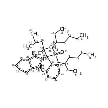 CCCCC(CC)CP(=O)(CC(CC)CCCC)C(c1ccccc1O)(n1nc2ccccc2n1)C(C)(C)CC(C)C